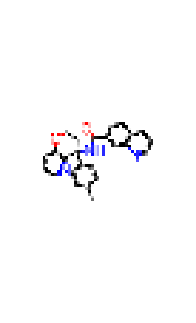 Cc1ccc([C@@]2(NC(=O)c3ccc4cccnc4c3)CCOc3cccnc32)cc1